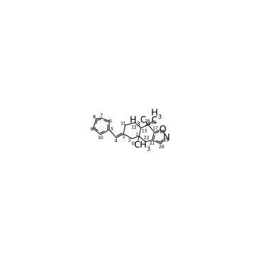 CC12C/C(=C/c3ccccc3)CCC1C(C)(C)c1oncc1C2